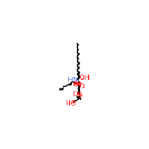 CCCCCCCCCCCCC/C=C/[C@@H](O)[C@H](COC(=O)CCC(=O)OC(C)(C)CCO)NC(=O)CCCCCCC